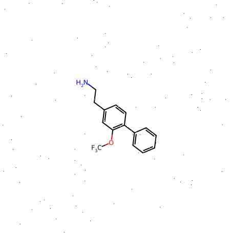 NCCc1ccc(-c2ccccc2)c(OC(F)(F)F)c1